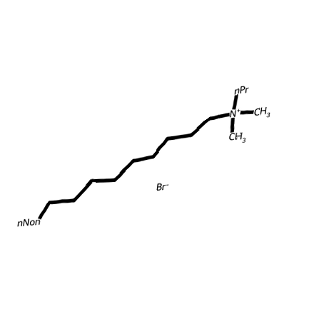 CCCCCCCCCCCCCCCCCC[N+](C)(C)CCC.[Br-]